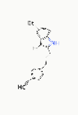 C#Cc1ccc(CCCc2[nH]c3ccc(CC)cc3c2CC)cc1